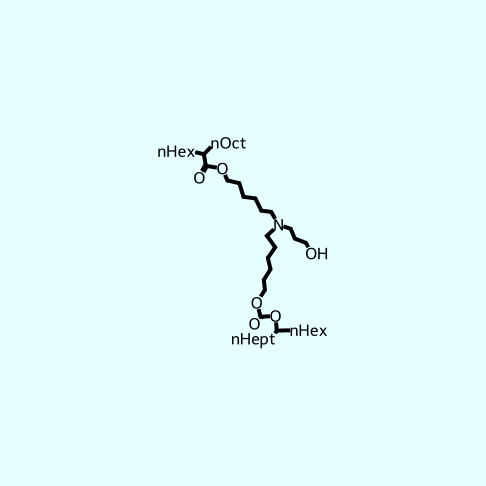 CCCCCCCCC(CCCCCC)C(=O)OCCCCCCN(CCCO)CCCCCCOC(=O)OC(CCCCCC)CCCCCCC